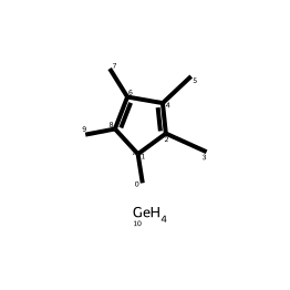 C[C]1C(C)=C(C)C(C)=C1C.[GeH4]